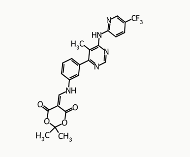 Cc1c(Nc2ccc(C(F)(F)F)cn2)ncnc1-c1cccc(NC=C2C(=O)OC(C)(C)OC2=O)c1